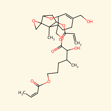 C=CC(=O)OC1CC2OC3C=C(CO)CCC3(COC(=O)C(O)C(C)CCCOC(=O)/C=C\C)C1(C)C21CO1